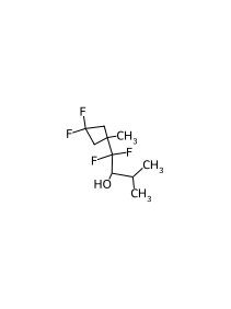 CC(C)C(O)C(F)(F)C1(C)CC(F)(F)C1